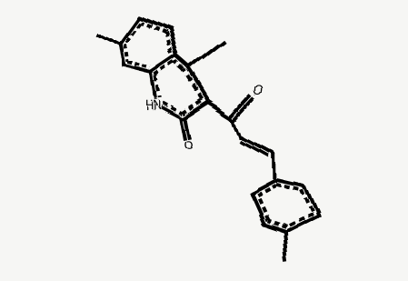 Cc1ccc(/C=C/C(=O)c2c(C)c3ccc(C)cc3[nH]c2=O)cc1